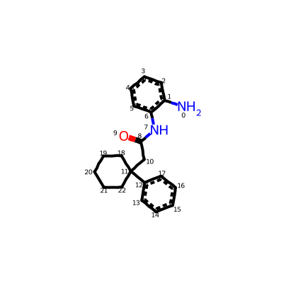 Nc1ccccc1NC(=O)CC1(c2ccccc2)CCCCC1